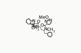 COc1nccc(C(=O)N(C)C(CCNC(=O)c2nc3ccccc3n2C)Cc2ccccc2)n1